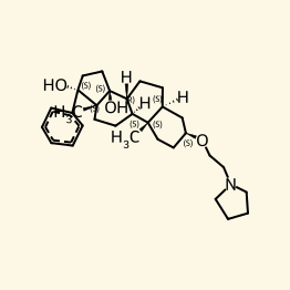 C[C@]12CC[C@H](OCCN3CCCC3)C[C@@H]1CC[C@@H]1[C@@H]2CC[C@]2(C)[C@@](O)(c3ccccc3)CC[C@]12O